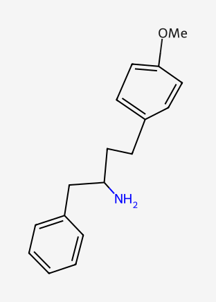 COc1ccc(CCC(N)Cc2ccccc2)cc1